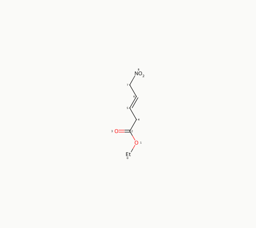 CCOC(=O)C/C=C/C[N+](=O)[O-]